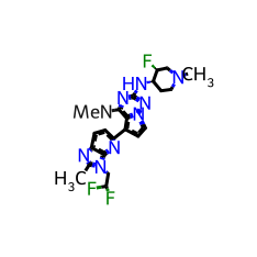 CNc1nc(N[C@@H]2CCN(C)C[C@@H]2F)nn2ccc(-c3ccc4nc(C)n(CC(F)F)c4n3)c12